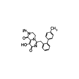 Cc1ccc(-c2ccccc2Cc2nc(=O)c(O)c3n2CCN(C(C)C)C3=O)cc1